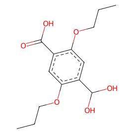 CCCOc1cc(C(O)O)c(OCCC)cc1C(=O)O